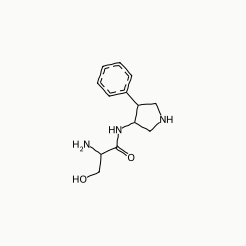 NC(CO)C(=O)NC1CNCC1c1ccccc1